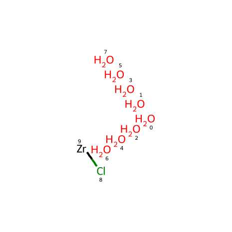 O.O.O.O.O.O.O.O.[Cl][Zr]